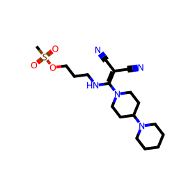 CS(=O)(=O)OCCCNC(=C(C#N)C#N)N1CCC(N2CCCCC2)CC1